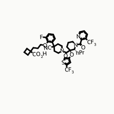 CCC[C@H]1N(C(=O)c2ncccc2C(F)(F)F)CCC[C@@]1(Oc1csc(C(F)(F)F)c1)C(=O)N1CCC(C#N)(c2cccc(F)c2OCCCC2(C(=O)O)CCC2)CC1